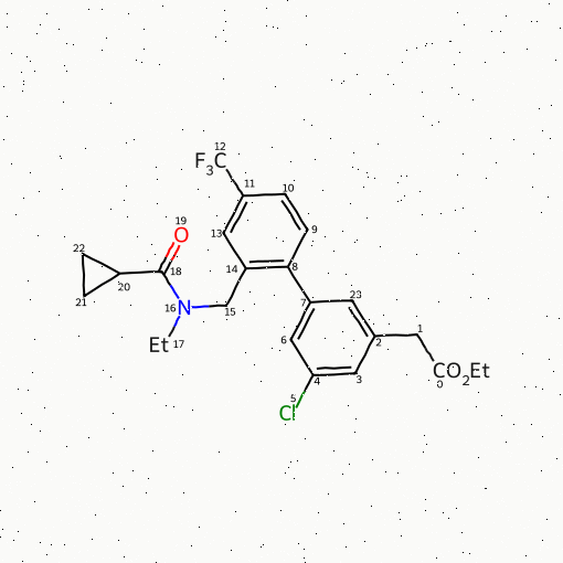 CCOC(=O)Cc1cc(Cl)cc(-c2ccc(C(F)(F)F)cc2CN(CC)C(=O)C2CC2)c1